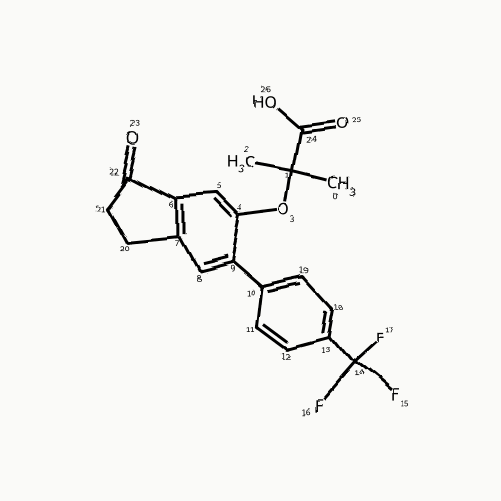 CC(C)(Oc1cc2c(cc1-c1ccc(C(F)(F)F)cc1)CCC2=O)C(=O)O